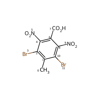 Cc1c(Br)c([N+](=O)[O-])c(C(=O)O)c([N+](=O)[O-])c1Br